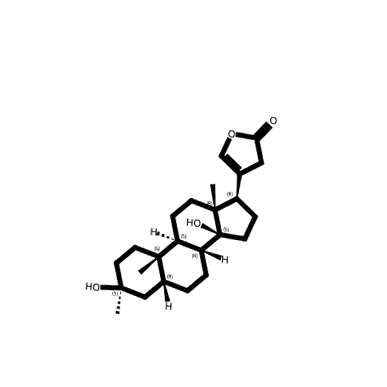 C[C@]1(O)CC[C@@]2(C)[C@H](CC[C@@H]3[C@@H]2CC[C@]2(C)[C@@H](C4=COC(=O)C4)CC[C@]32O)C1